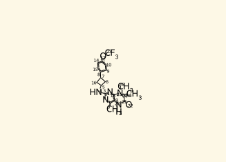 Cc1nc(NC2CC(c3ccc(OC(F)(F)F)cc3)C2)nc2c1NC(=O)[C@H](C)N2C